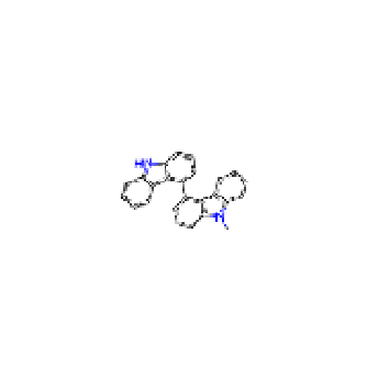 Cn1c2ccccc2c2c(-c3cccc4[nH]c5ccccc5c34)cccc21